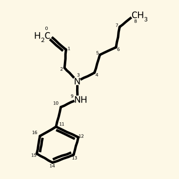 C=CCN(CCCCC)NCc1ccccc1